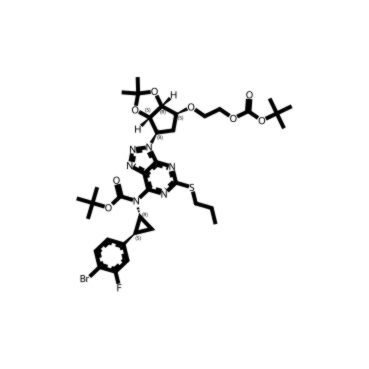 CCCSc1nc(N(C(=O)OC(C)(C)C)[C@@H]2C[C@H]2c2ccc(Br)c(F)c2)c2nnn([C@@H]3C[C@H](OCCOC(=O)OC(C)(C)C)[C@H]4OC(C)(C)O[C@H]43)c2n1